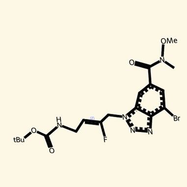 CON(C)C(=O)c1cc(Br)c2nnn(C/C(F)=C/CNC(=O)OC(C)(C)C)c2c1